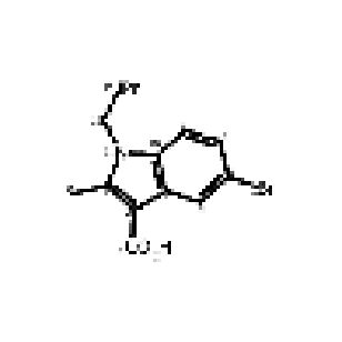 Cc1c(C(=O)O)c2cc(Br)ccc2n1CC(C)C